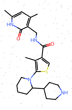 Cc1cc(C)c(CNC(=O)c2csc(N3CCCCC3C3CCNCC3)c2C)c(=O)[nH]1